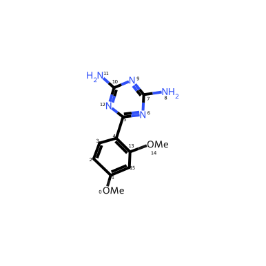 COc1ccc(-c2nc(N)nc(N)n2)c(OC)c1